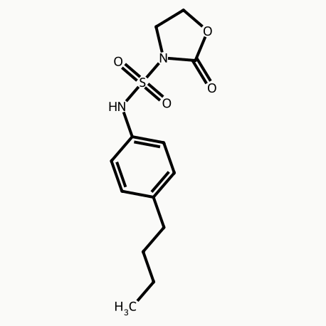 CCCCc1ccc(NS(=O)(=O)N2CCOC2=O)cc1